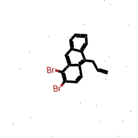 C=CCc1c2ccccc2cc2c(Br)c(Br)ccc12